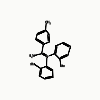 Cc1ccc(C(N)=[N+](c2ccccc2C(C)(C)C)c2ccccc2C(C)(C)C)cc1